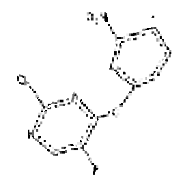 O=[N+]([O-])c1cccc(Oc2nc(Cl)ncc2F)c1